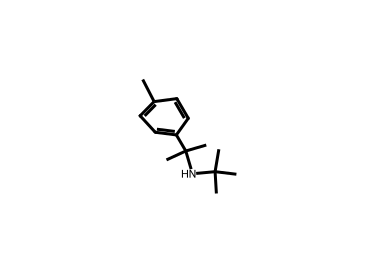 Cc1ccc(C(C)(C)NC(C)(C)C)cc1